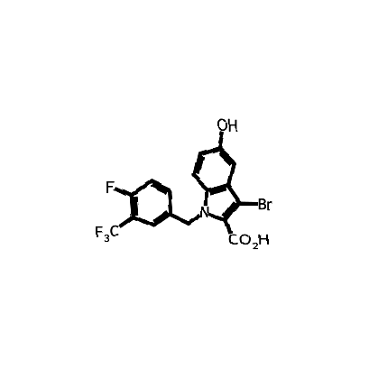 O=C(O)c1c(Br)c2cc(O)ccc2n1Cc1ccc(F)c(C(F)(F)F)c1